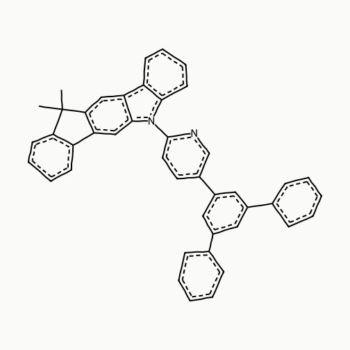 CC1(C)c2ccccc2-c2cc3c(cc21)c1ccccc1n3-c1ccc(-c2cc(-c3ccccc3)cc(-c3ccccc3)c2)cn1